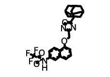 O=S(=O)(Nc1ccc2c(OCc3noc(C45CC6CC(CC(C6)C4)C5)n3)cccc2c1)C(F)(F)F